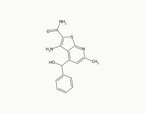 Cc1cc(C(O)c2ccccc2)c2c(N)c(C(N)=O)sc2n1